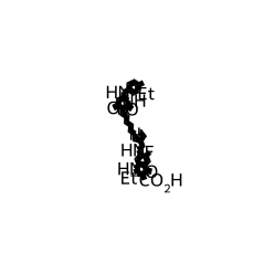 CCc1cc(Nc2cc(=O)n(CCCCCN3CCC(CNc4cc5[nH]c(CC)c(C(=O)O)c(=O)c5cc4F)C3)c(=O)[nH]2)ccc1C